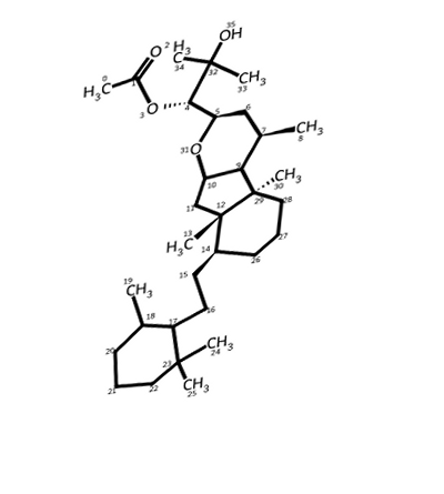 CC(=O)O[C@@H]([C@H]1C[C@@H](C)C2C(C[C@@]3(C)[C@H](CCC4C(C)CCCC4(C)C)CCC[C@]23C)O1)C(C)(C)O